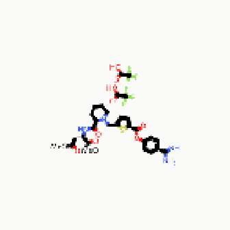 COC(=O)C[C@H](NC(=O)C1CCCCN1Cc1ccc(C(=O)Oc2ccc(C(=N)N)cc2)s1)C(=O)OC.O=C(O)C(F)(F)F.O=C(O)C(F)(F)F